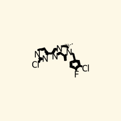 C=C1c2nc(-c3ccnc(Cl)n3)cn2C[C@H](C)N1Cc1ccc(F)c(Cl)c1